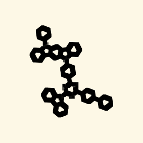 c1ccc(-c2ccc(-c3nc(-c4ccc(-n5c6ccccc6c6cc7c(cc65)c5ccccc5n7-c5ccccc5)cc4)nc(-n4c5ccccc5c5ccccc54)n3)cc2)cc1